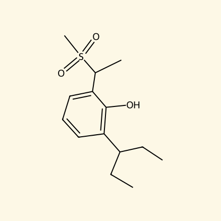 CCC(CC)c1cccc(C(C)S(C)(=O)=O)c1O